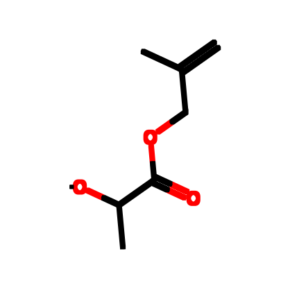 C=C(C)COC(=O)C(C)[O]